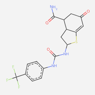 NC(=O)C1CC(=O)C=C2SC(NC(=O)Nc3ccc(C(F)(F)F)cc3)CC21